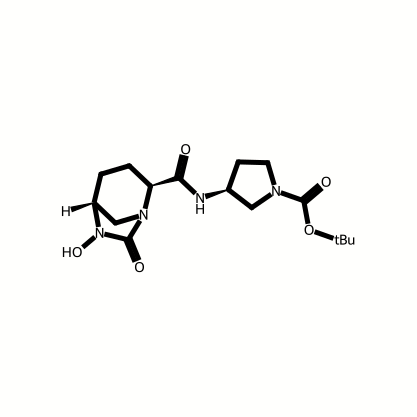 CC(C)(C)OC(=O)N1CC[C@H](NC(=O)[C@@H]2CC[C@@H]3CN2C(=O)N3O)C1